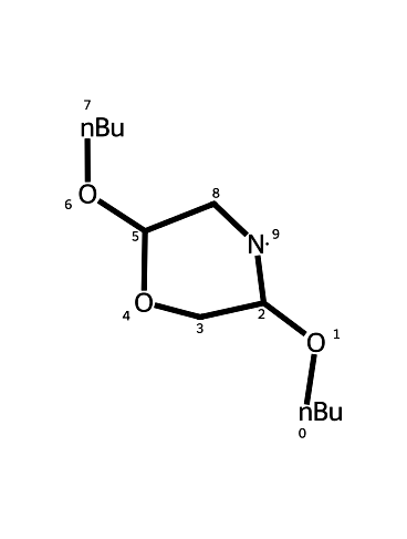 CCCCOC1COC(OCCCC)C[N]1